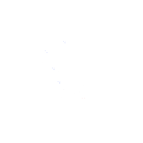 COc1ccccc1-c1ccc(C(=O)N2Cc3ccc(C(=O)N(C)C4CCN(C)CC4)n3Cc3ccccc32)cc1OC